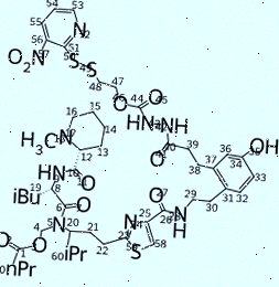 CCCC(=O)OCN(C(=O)[C@@H](NC(=O)[C@H]1CCCCN1C)C(C)CC)C(CCc1nc(C(=O)NCCc2ccc(O)cc2CCC(=O)NNC(=O)OCCSSc2ncccc2[N+](=O)[O-])cs1)C(C)C